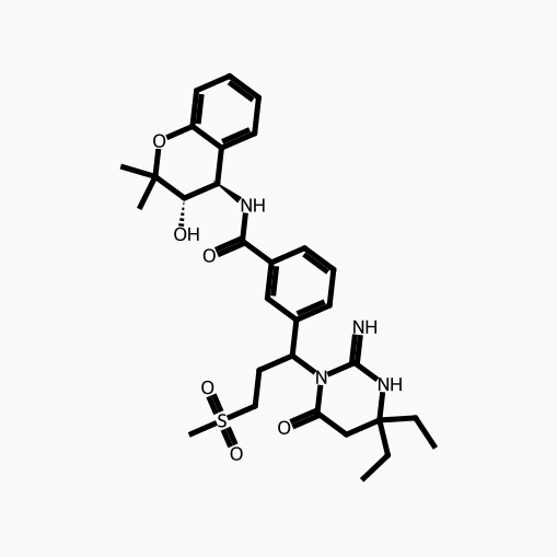 CCC1(CC)CC(=O)N(C(CCS(C)(=O)=O)c2cccc(C(=O)N[C@@H]3c4ccccc4OC(C)(C)[C@H]3O)c2)C(=N)N1